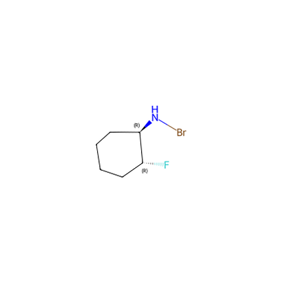 F[C@@H]1CCCC[C@H]1NBr